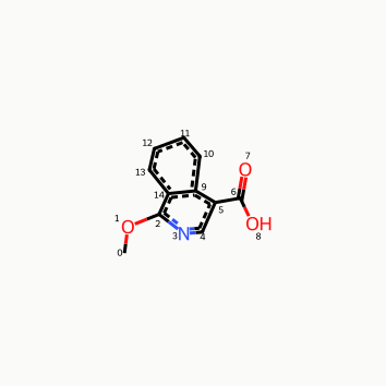 COc1ncc(C(=O)O)c2ccccc12